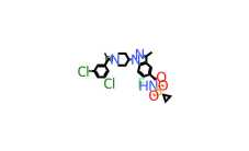 Cc1nn(C2CCN([C@H](C)c3cc(Cl)cc(Cl)c3)CC2)c2cc(F)c(C(=O)NS(=O)(=O)C3CC3)cc12